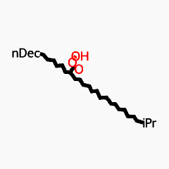 CCCCCCCCCCCCCCCCC(CCCCCCCCCCCCCCCC(C)C)C(=O)OO